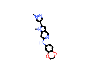 Cn1cc(-c2cc3cnc(Nc4ccc5c(c4)OCCO5)cc3n2C)cn1